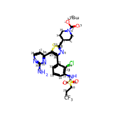 CC(C)(C)OC(=O)N1CCC(c2nc(-c3cccc(NS(=O)(=O)CCC(F)(F)F)c3Cl)c(-c3ccnc(N)n3)s2)CC1